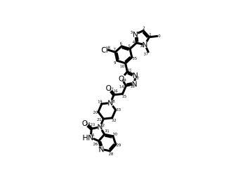 Cc1cnc(-c2cc(Cl)cc(-c3nnc(CC(=O)N4CCC(n5c(=O)[nH]c6ncccc65)CC4)o3)c2)n1C